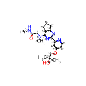 CC(C)NC(=O)CN(C)c1nc(-c2cc(OCC(C)(C)O)ccn2)nc2c1CCC2